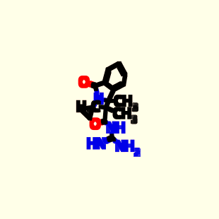 CC(C)(C(=O)NC(=N)N)C1(C)c2ccccc2C(=O)N1C1CC1